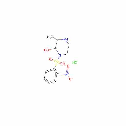 CC1NCCN(S(=O)(=O)c2ccccc2[N+](=O)[O-])C1O.Cl